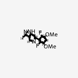 COc1cc(OC)c(F)c(-c2cc3[nH]nc(I)c3cn2)c1F